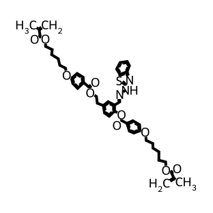 C=C(C)C(=O)OCCCCCCOc1ccc(C(=O)OCCc2ccc(OC(=O)c3ccc(OCCCCCCOC(=O)C(=C)C)cc3)c(/C=N/Nc3nc4ccccc4s3)c2)cc1